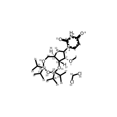 CO[C@H]1C(n2ccc(=O)[nH]c2=O)S[C@@H]2CO[Si](C(C)C)(C(C)C)O[Si](C(C)C)(C(C)C)O[C@H]21.ClCCl